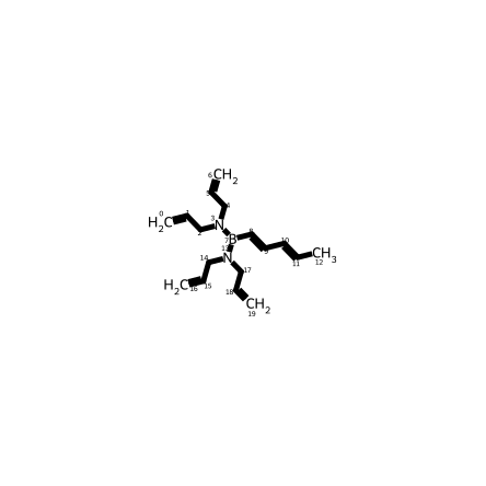 C=CCN(CC=C)B(/C=C/C=C/C)N(CC=C)CC=C